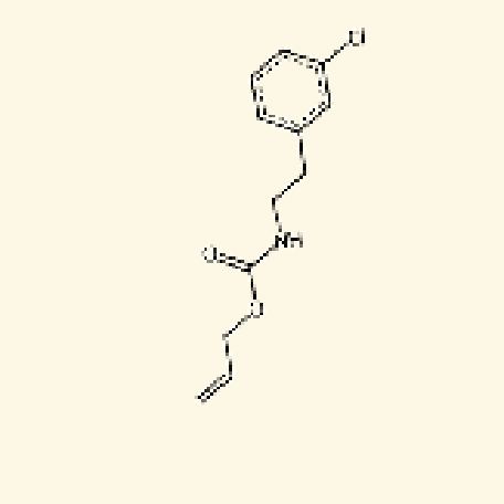 C=CCOC(=O)NCCc1cccc(Cl)c1